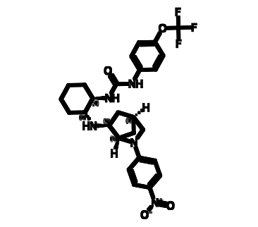 O=C(Nc1ccc(OC(F)(F)F)cc1)N[C@@H]1CCCC[C@H]1N[C@H]1C[C@@H]2C[C@@H]1N(c1ccc([N+](=O)[O-])cc1)C2